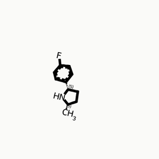 C[C@H]1CC[C@@H](c2ccc(F)cc2)N1